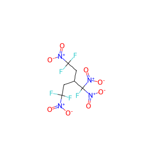 O=[N+]([O-])C(F)(F)CC(CC(F)(F)[N+](=O)[O-])C(F)([N+](=O)[O-])[N+](=O)[O-]